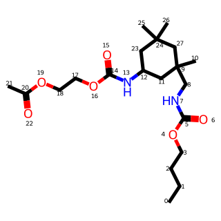 CCCCOC(=O)NCC1(C)CC(NC(=O)OCCOC(C)=O)CC(C)(C)C1